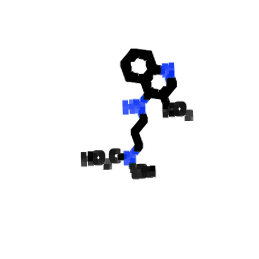 CC(C)(C)N(CCCNc1c([N+](=O)[O-])cnc2ccccc12)C(=O)O